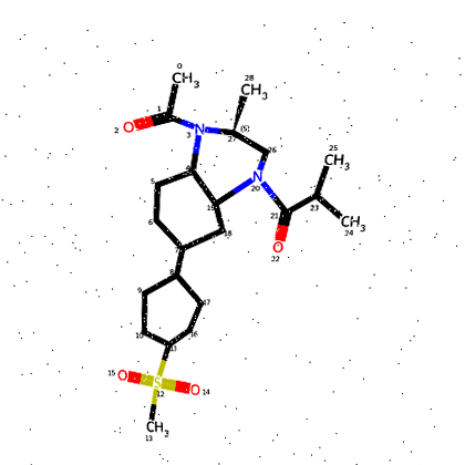 CC(=O)N1C2CCC(C3CCC(S(C)(=O)=O)CC3)CC2N(C(=O)C(C)C)C[C@@H]1C